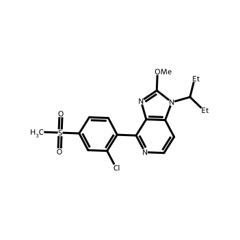 CCC(CC)n1c(OC)nc2c(-c3ccc(S(C)(=O)=O)cc3Cl)nccc21